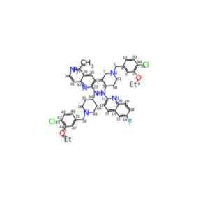 CCOc1cc(CN2CCC(N(c3ccc4cc(F)ccc4n3)N(c3ccc4c(C)nccc4n3)C3CCN(Cc4ccc(Cl)c(OCC)c4)CC3)CC2)ccc1Cl